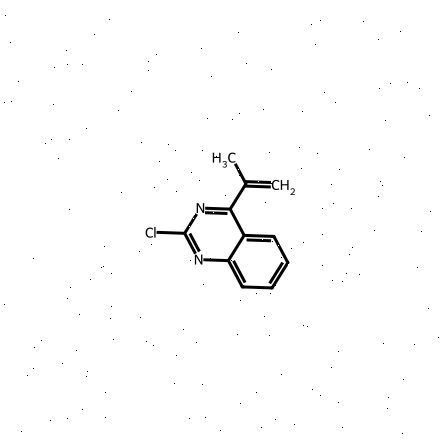 C=C(C)c1nc(Cl)nc2ccccc12